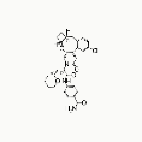 NC(=O)c1ccc(NC(=O)[C@H](C[C@@H]2CCCCO2)n2cc3c(cc2=O)-c2cc(Cl)ccc2C[C@H]2CC[C@H]2O3)cc1